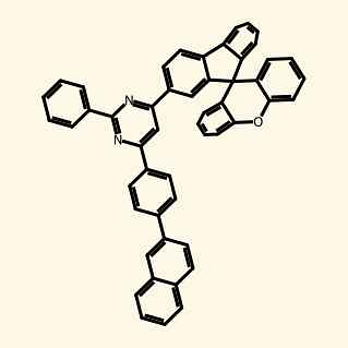 c1ccc(-c2nc(-c3ccc(-c4ccc5ccccc5c4)cc3)cc(-c3ccc4c(c3)C3(c5ccccc5Oc5ccccc53)c3ccccc3-4)n2)cc1